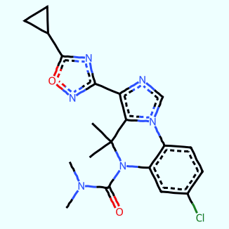 CN(C)C(=O)N1c2cc(Cl)ccc2-n2cnc(-c3noc(C4CC4)n3)c2C1(C)C